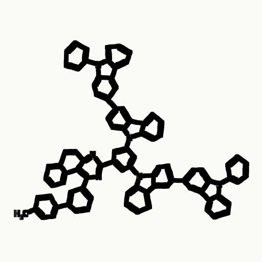 Cc1ccc(-c2cccc(-c3nc(-c4cc(-n5c6ccccc6c6cc(-c7ccc8c(c7)c7ccccc7n8-c7ccccc7)ccc65)cc(-n5c6ccccc6c6cc(-c7ccc8c(c7)c7ccccc7n8-c7ccccc7)ccc65)c4)nc4ccc5ccccc5c34)c2)cc1